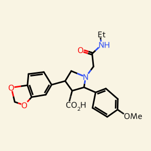 CCNC(=O)CN1CC(c2ccc3c(c2)OCO3)C(C(=O)O)C1c1ccc(OC)cc1